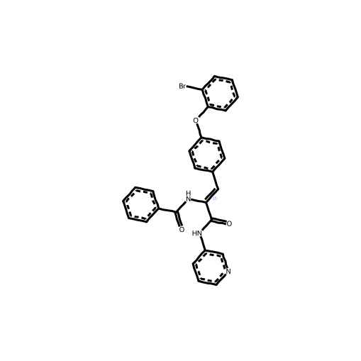 O=C(Nc1cccnc1)/C(=C/c1ccc(Oc2ccccc2Br)cc1)NC(=O)c1ccccc1